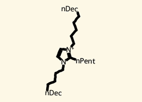 CCCCCCCCCCCCCCC[n+]1ccn(CCCCCCCCCCCCCC)c1CCCCC